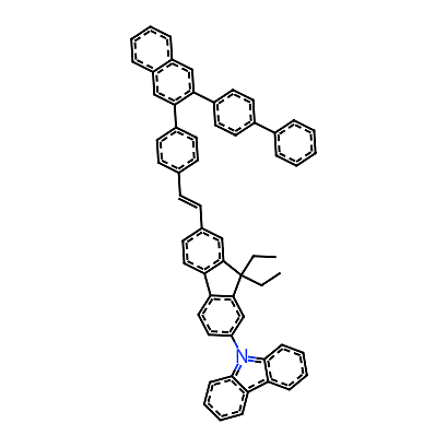 CCC1(CC)c2cc(/C=C/c3ccc(-c4cc5ccccc5cc4-c4ccc(-c5ccccc5)cc4)cc3)ccc2-c2ccc(-n3c4ccccc4c4ccccc43)cc21